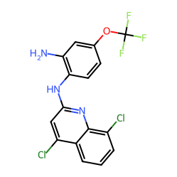 Nc1cc(OC(F)(F)F)ccc1Nc1cc(Cl)c2cccc(Cl)c2n1